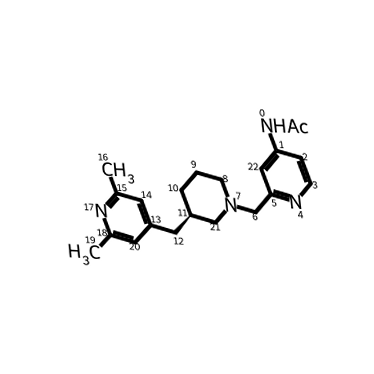 CC(=O)Nc1ccnc(CN2CCC[C@H](Cc3cc(C)nc(C)c3)C2)c1